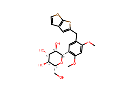 COc1cc(OC)c([C@@H]2O[C@H](CO)[C@@H](O)[C@H](O)[C@H]2O)cc1Cc1cc2ccsc2s1